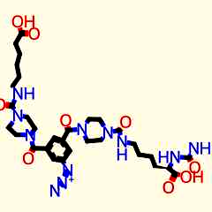 [N-]=[N+]=Nc1cc(C(=O)N2CCN(C(=O)NCCCCCC(=O)O)CC2)cc(C(=O)N2CCN(C(=O)NCCCC[C@@H](NC(N)=O)C(=O)O)CC2)c1